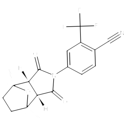 C[C@]12CC[C@](C)(O1)[C@@H]1C(=O)N(c3ccc(C#N)c(C(F)(F)F)c3)C(=O)[C@@H]12